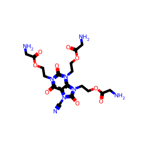 N#Cn1c(=O)n(CCOC(=O)CN)c2c1c(=O)n(CCOC(=O)CN)c(=O)n2CCOC(=O)CN